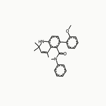 COc1ccccc1-c1ccc2c(c1C(=O)N(C)c1ccccc1)C(C)=CC(C)(C)N2